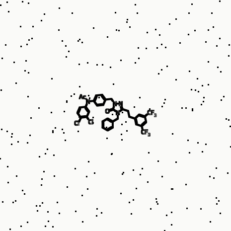 CC(=O)N(c1ccc(Cn2nc(CCc3cc(C(F)(F)F)cc(C(F)(F)F)c3)n(Cc3ccccc3)c2=O)cc1)c1ccc(Cl)c(Cl)c1